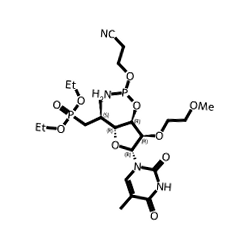 CCOP(=O)(C[C@@H](C)[C@H]1O[C@@H](n2cc(C)c(=O)[nH]c2=O)[C@H](OCCOC)[C@@H]1OP(N)OCCC#N)OCC